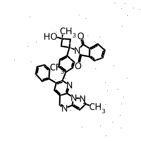 Cc1cc2ncc3cc(-c4ccccc4C(F)(F)F)c(-c4ccc([C@]5(N6C(=O)c7ccccc7C6=O)C[C@](C)(O)C5)cc4)nc3n2n1